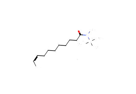 CCCCCCCC/C=C\CCCCCCCC(=O)N(CCC)[Si](OC)(OC)OC.Cl